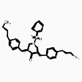 CCCCc1ccc(/C=C2\CN(S(=O)(=O)c3ccccc3)C/C(=C\c3ccc(CCCC)cc3)C2=O)cc1